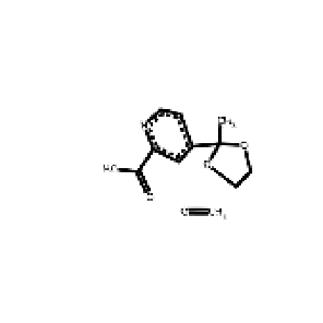 C=O.CC1(c2ccnc(C(=O)O)c2)OCCO1